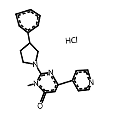 Cl.Cn1c(N2CCC(c3ccccc3)C2)nc(-c2ccncc2)cc1=O